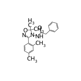 Cc1ccc(C2=NOC(C)(C)N2NC(=O)Cc2ccccc2)c(C)c1